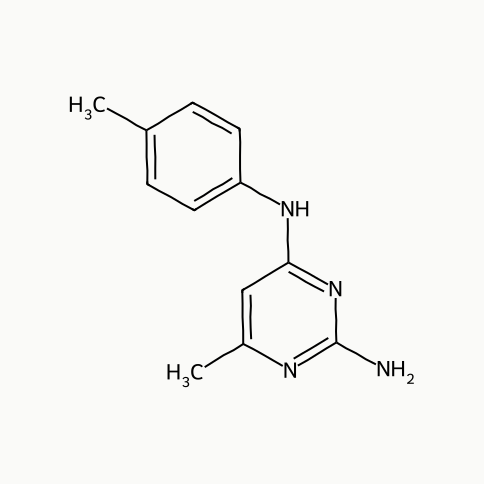 Cc1ccc(Nc2cc(C)nc(N)n2)cc1